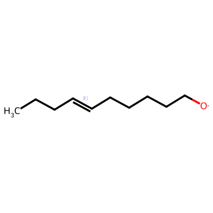 CCC/C=C/CCCCC[O]